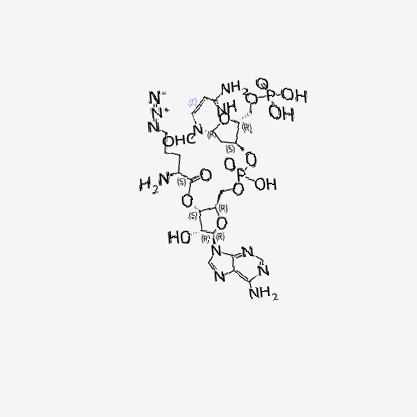 [N-]=[N+]=NCCC[C@H](N)C(=O)O[C@H]1[C@@H](O)[C@H](n2cnc3c(N)ncnc32)O[C@@H]1COP(=O)(O)O[C@H]1C[C@H](N(C=O)/C=C\C(=N)N)O[C@@H]1COP(=O)(O)O